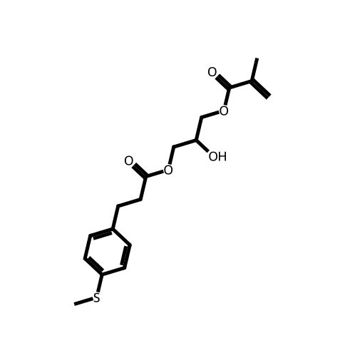 C=C(C)C(=O)OCC(O)COC(=O)CCc1ccc(SC)cc1